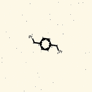 CC(C)Cc1[c]cc(CC(C)C)cc1